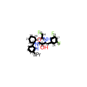 CC(C)c1cccc(C2(NC[C@@H](O)[C@H](Cc3cc(F)cc(F)c3)NC(=O)CF)CCCCC2)c1